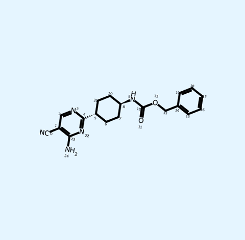 N#Cc1cnc([C@H]2CC[C@H](NC(=O)OCc3ccccc3)CC2)nc1N